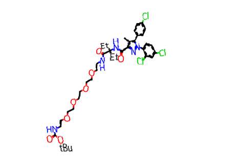 CCC(CC)(NC(=O)c1nn(-c2ccc(Cl)cc2Cl)c(-c2ccc(Cl)cc2)c1C)C(=O)NCCOCCOCCOCCOCCNC(=O)OC(C)(C)C